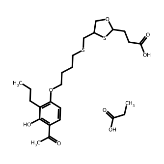 CCC(=O)O.CCCc1c(OCCCCSCC2COC(CCC(=O)O)S2)ccc(C(C)=O)c1O